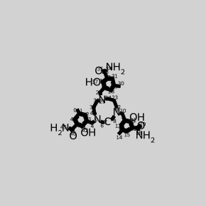 Cc1cc(CN2CCCN(Cc3cc(C)cc(C(N)=O)c3O)CCCN(Cc3cc(C)cc(C(N)=O)c3O)CCC2)c(O)c(C(N)=O)c1